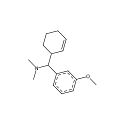 COc1cccc(C(C2C=CCCC2)N(C)C)c1